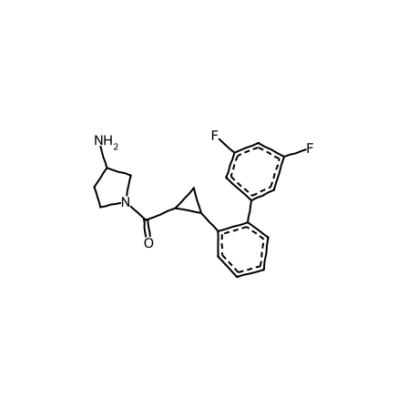 NC1CCN(C(=O)C2CC2c2ccccc2-c2cc(F)cc(F)c2)C1